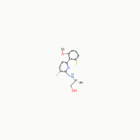 CCOc1cccc(F)c1-c1ccc(F)c(CN[C@@H](CO)C(C)C)n1